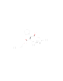 CC(C)COC(=O)C(=C(C(=O)OCC(C)C)C1CCCC1)C(C)C